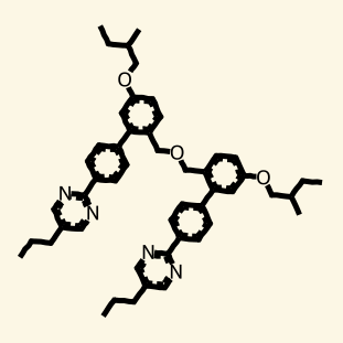 CCCc1cnc(-c2ccc(-c3cc(OCC(C)CC)ccc3COCc3ccc(OCC(C)CC)cc3-c3ccc(-c4ncc(CCC)cn4)cc3)cc2)nc1